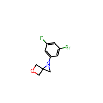 Fc1cc(Br)cc(N2CC23COC3)c1